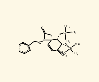 C=C1C=C[C@]2(CC(=O)N2OCc2ccccc2)[C@H](O[Si](C)(C)C)[C@@H]1O[Si](C)(C)C(C)(C)C